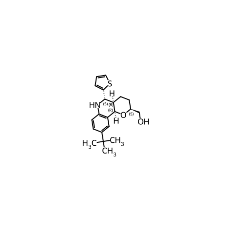 CC(C)(C)c1ccc2c(c1)[C@@H]1O[C@H](CO)CC[C@@H]1[C@@H](c1cccs1)N2